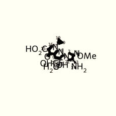 CON=C1CN(c2nc3c(cc2F)c(=O)c(C(=O)O)cn3C2CC2)C[C@@H]1CN.O.O=CO